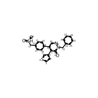 O=c1c(-c2ccsc2)c(-c2ccc(C[SH](=O)=O)cc2)cnn1Cc1ccccc1